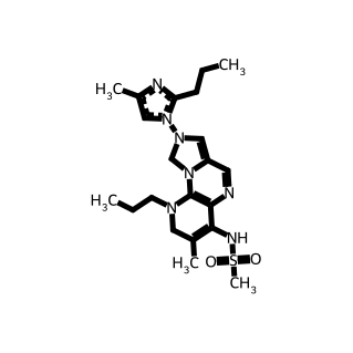 CCCc1nc(C)cn1N1C=C2C=NC3=C(N(CCC)CC(C)=C3NS(C)(=O)=O)N2C1